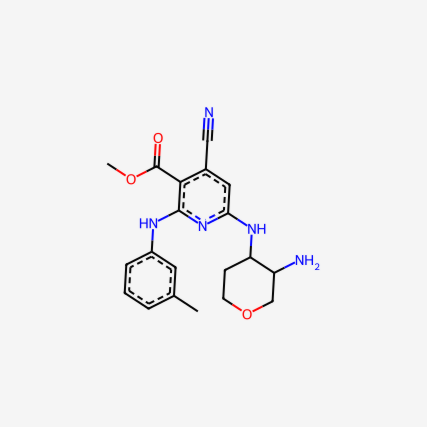 COC(=O)c1c(C#N)cc(NC2CCOCC2N)nc1Nc1cccc(C)c1